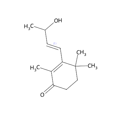 CC1=C(/C=C/C(C)O)C(C)(C)CCC1=O